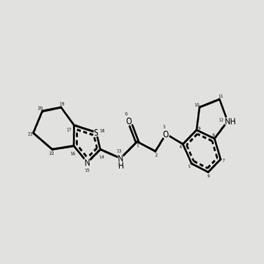 O=C(COc1cccc2c1CCN2)Nc1nc2c(s1)CCCC2